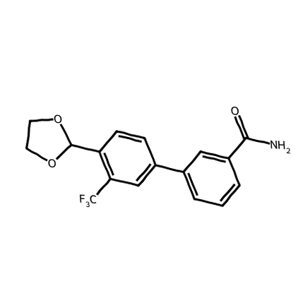 NC(=O)c1cccc(-c2ccc(C3OCCO3)c(C(F)(F)F)c2)c1